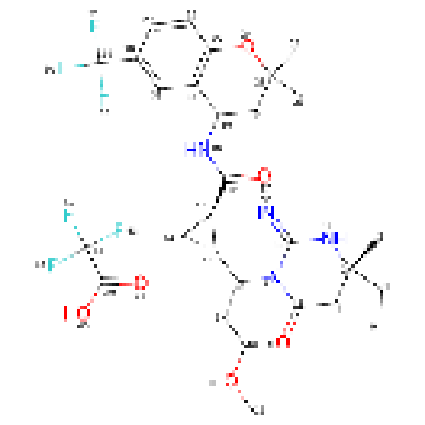 CC[C@]1(C)CC(=O)N([C@H](CCOC)[C@@H]2C[C@H]2C(=O)NC2CC(C)(C)Oc3ccc(C(F)(F)F)cc32)C(=N)N1.O=C(O)C(F)(F)F